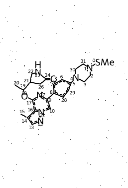 CSN1CCN(c2ccc(-c3cn4ncc(C)c4c(OC(C)C4CNC(=O)C4)n3)cc2)CC1